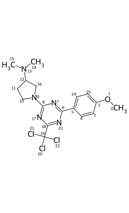 COc1ccc(-c2nc(N3CCC(N(C)C)C3)nc(C(Cl)(Cl)Cl)n2)cc1